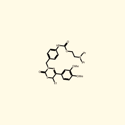 CCC1SC(=O)N(Cc2ccc(NC(=O)OCCN(C(C)C)C(C)C)cc2)N=C1c1ccc(OC)c(OC)c1